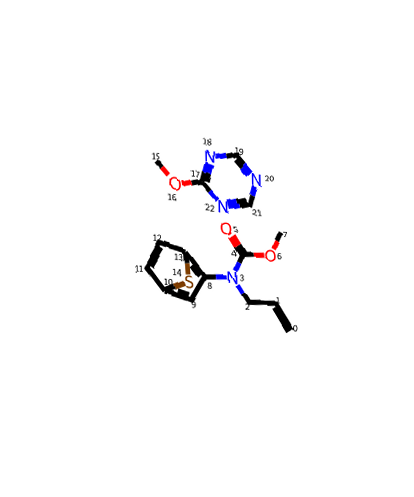 C=CCN(C(=O)OC)c1cc2ccc1s2.COc1ncncn1